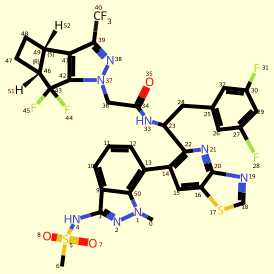 Cn1nc(NS(C)(=O)=O)c2cccc(-c3cc4scnc4nc3C(Cc3cc(F)cc(F)c3)NC(=O)Cn3nc(C(F)(F)F)c4c3C(F)(F)[C@@H]3CC[C@H]43)c21